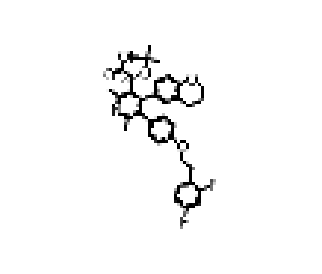 Cc1nc(C)c([C@H](OC(C)(C)C)C(=O)O)c(-c2ccc3c(c2)CCCO3)c1-c1ccc(OCCc2ccc(F)cc2F)cc1